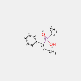 CCC(c1ccccc1)P(=O)(O)CC